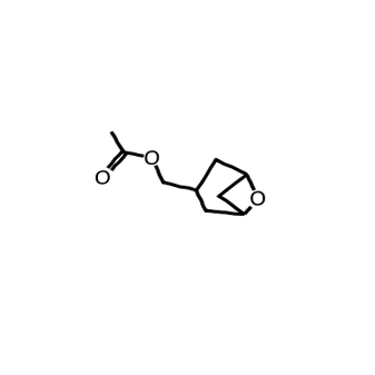 CC(=O)OCC1CC2CC(C1)O2